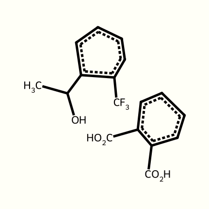 CC(O)c1ccccc1C(F)(F)F.O=C(O)c1ccccc1C(=O)O